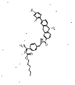 CCCCCCOC(=O)/N=C(/N)c1ccc(CNC(=O)c2ccc3c(c2)Cc2cc(-c4ccc(F)cc4F)ccc2[C@@H]3OC)cc1